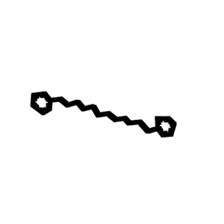 C(/C=C/C=C/C=C/c1ccccc1)=C\C=C\C=C\c1ccccc1